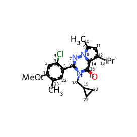 COc1cc(Cl)c(-c2nn3c(C)cc(C(C)C)c3c(=O)n2CC2CC2)cc1C